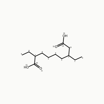 CCC(CCCCC(CC)C(=O)O)CC(=O)O